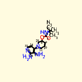 CC(C)(C)NC(=O)OC1CCCN(c2ccnc(N)c2N)C1